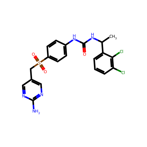 CC(NC(=O)Nc1ccc(S(=O)(=O)Cc2cnc(N)nc2)cc1)c1cccc(Cl)c1Cl